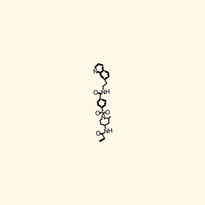 C=CC(=O)NC1CCN(S(=O)(=O)c2ccc(C(=O)NCCc3ccc4cccnc4c3)cc2)C(C)C1